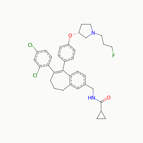 O=C(NCc1ccc2c(c1)CCCC(c1ccc(Cl)cc1Cl)=C2c1ccc(O[C@@H]2CCN(CCCF)C2)cc1)C1CC1